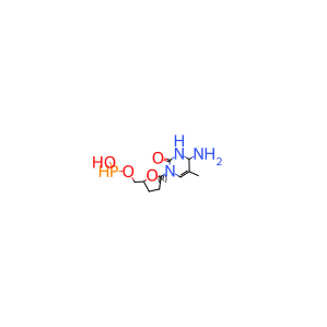 CC1=CN([C@H]2CCC(COPO)O2)C(=O)NC1N